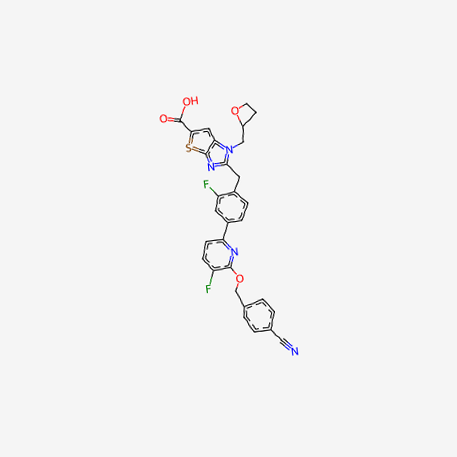 N#Cc1ccc(COc2nc(-c3ccc(Cc4nc5sc(C(=O)O)cc5n4CC4CCO4)c(F)c3)ccc2F)cc1